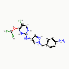 Nc1ccc(Cn2cc(Nc3ncc(Cl)c(OC(F)F)n3)cn2)cc1